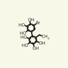 CCc1c(O)c(O)c(O)c(O)c1-c1cc(Br)c(O)c(O)c1O